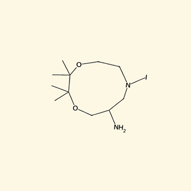 CC1(C)OCCN(I)CC(N)COC1(C)C